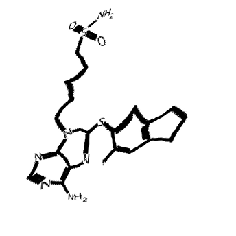 Nc1ncnc2c1nc(Sc1cc3c(cc1I)CCC3)n2CCCCCS(N)(=O)=O